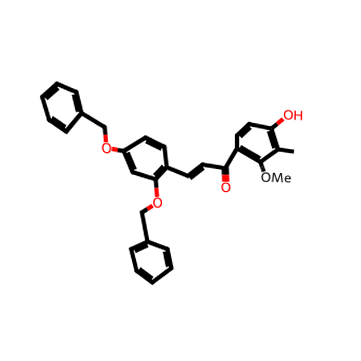 COc1c(C(=O)/C=C/c2ccc(OCc3ccccc3)cc2OCc2ccccc2)ccc(O)c1C